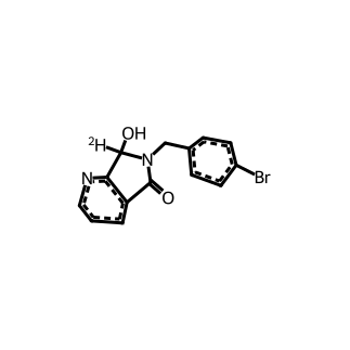 [2H]C1(O)c2ncccc2C(=O)N1Cc1ccc(Br)cc1